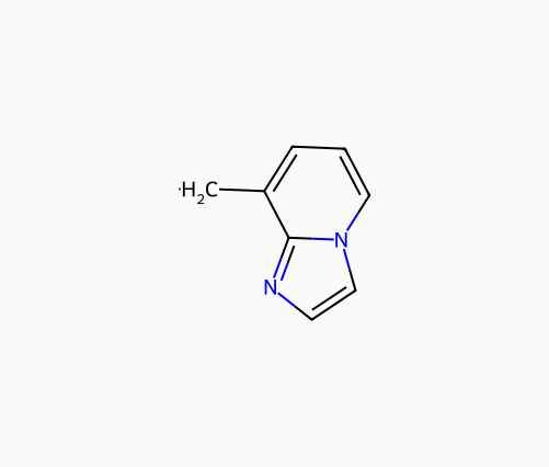 [CH2]c1cccn2ccnc12